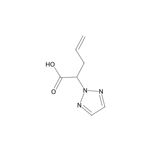 C=CCC(C(=O)O)n1nccn1